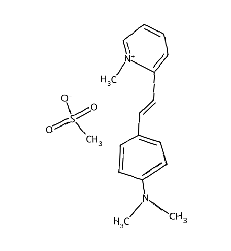 CN(C)c1ccc(C=Cc2cccc[n+]2C)cc1.CS(=O)(=O)[O-]